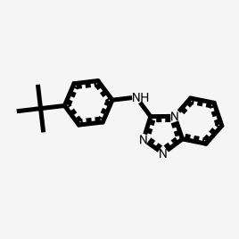 CC(C)(C)c1ccc(Nc2nnc3ccccn23)cc1